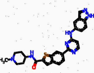 CN1CCC(NC(=O)c2cc3ccc(-c4nccc(Nc5ccc6[nH]ncc6c5)n4)cc3s2)CC1